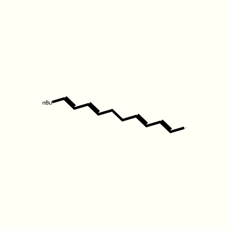 [CH2]C=CC=CCCC=CC=CCCCC